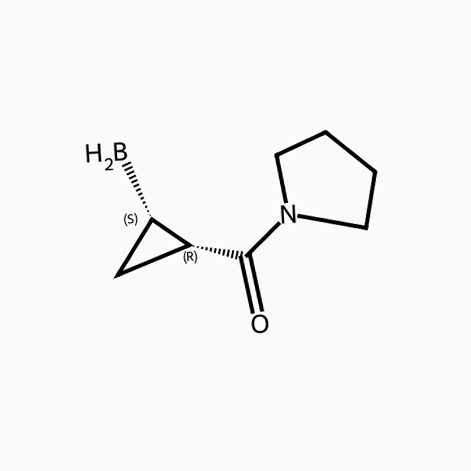 B[C@H]1C[C@H]1C(=O)N1CCCC1